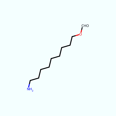 NCCCCCCCCCOC=O